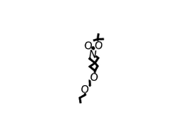 CCCOCCOC1CC2(C1)CN(C(=O)OC(C)(C)C)C2